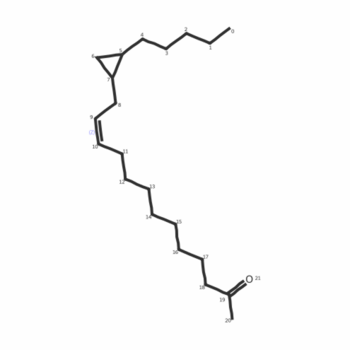 CCCCCC1CC1C/C=C\CCCCCCCCC(C)=O